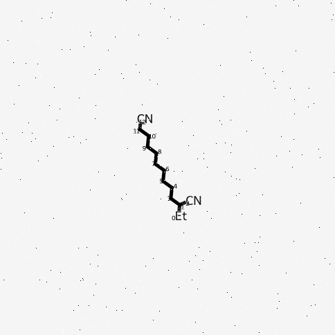 CCC(C#N)CCCCCCCCCC#N